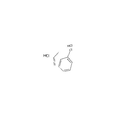 C=CC.Cl.Cl.Clc1ccccc1